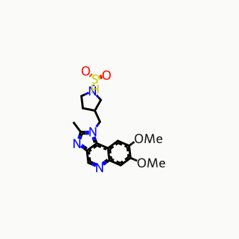 COc1cc2ncc3nc(C)n(CC4CCN([SH](=O)=O)C4)c3c2cc1OC